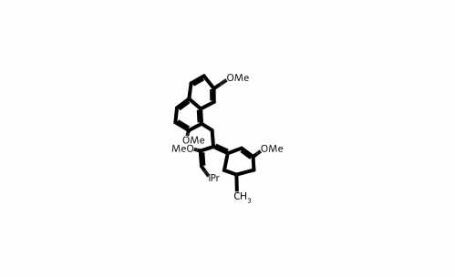 COC1=C/C(=C(Cc2c(OC)ccc3ccc(OC)cc23)/C(=C\C(C)C)OC)CC(C)C1